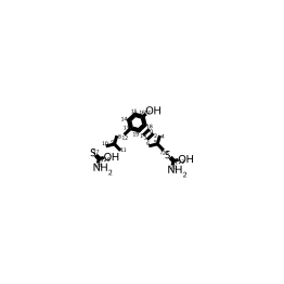 CC.CC.CC(C)C.CC(C)C.Cc1ccc(O)cc1.NC(O)=S.NC(O)=S